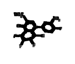 CCOC(=O)c1cn(-c2ccc(F)c([N+](=O)[O-])c2)c2c(Cl)c(F)c(F)c(F)c2c1=O